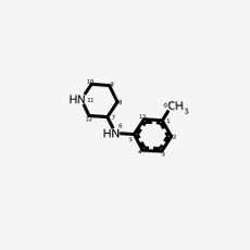 Cc1cccc(NC2CCCNC2)c1